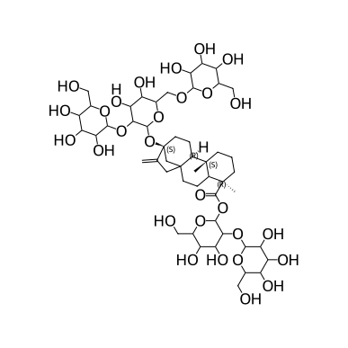 C=C1CC23CCC4[C@](C)(C(=O)OC5OC(CO)C(O)C(O)C5OC5OC(CO)C(O)C(O)C5O)CCC[C@@]4(C)[C@@H]2CC[C@]1(OC1OC(COC2OC(CO)C(O)C(O)C2O)C(O)C(O)C1OC1OC(CO)C(O)C(O)C1O)C3